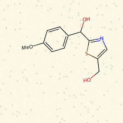 COc1ccc(C(O)c2ncc(CO)s2)cc1